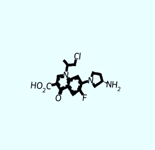 CC(CCl)n1cc(C(=O)O)c(=O)c2cc(F)c(N3CC[C@H](N)C3)cc21